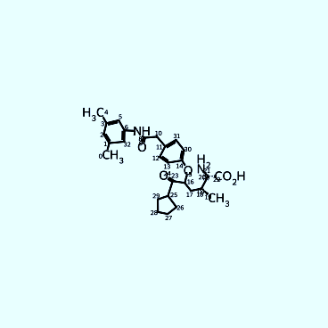 Cc1cc(C)cc(NC(=O)Cc2ccc(OC(C[C@H](C)[C@H](N)C(=O)O)C(=O)C3CCCC3)cc2)c1